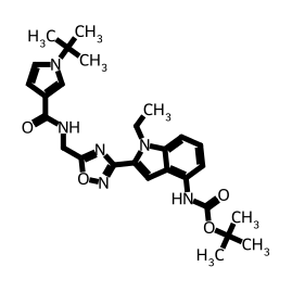 CCn1c(-c2noc(CNC(=O)c3ccn(C(C)(C)C)c3)n2)cc2c(NC(=O)OC(C)(C)C)cccc21